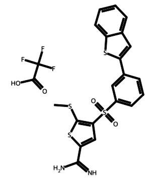 CSc1sc(C(=N)N)cc1S(=O)(=O)c1cccc(-c2cc3ccccc3s2)c1.O=C(O)C(F)(F)F